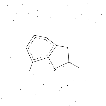 C[C]1Cc2cccc(C)c2S1